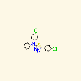 Clc1ccc(-c2nnc(N(c3ccccc3)C3CCC(Cl)CC3)s2)cc1